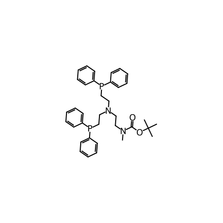 CN(CCN(CCP(c1ccccc1)c1ccccc1)CCP(c1ccccc1)c1ccccc1)C(=O)OC(C)(C)C